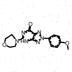 COc1ccc(-n2nc3[nH]c(N4CCOCC4)nc(=O)c3n2)cc1